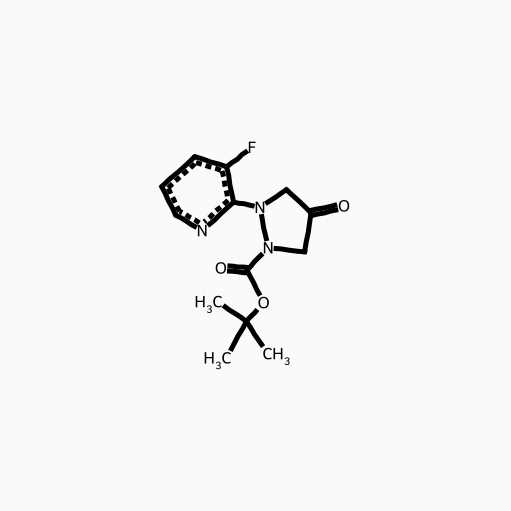 CC(C)(C)OC(=O)N1CC(=O)CN1c1ncccc1F